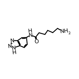 NCCCCCC(=O)Nc1ccc2[nH]nnc2c1